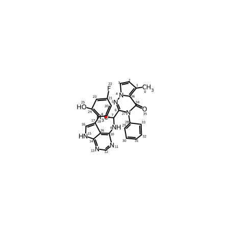 Cc1ccn2nc(C(C)Nc3ncnc4[nH]cc(-c5ccc(F)cc5O)c34)n(-c3ccccc3)c(=O)c12